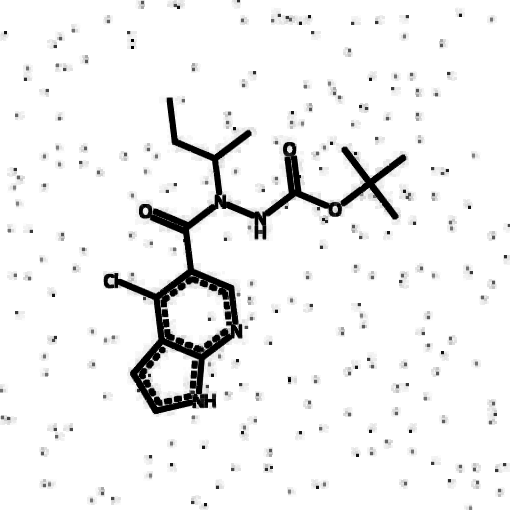 CCC(C)N(NC(=O)OC(C)(C)C)C(=O)c1cnc2[nH]ccc2c1Cl